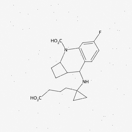 O=C(O)CCCC1(NC2c3ccc(F)cc3N(C(=O)O)C3CCC23)CC1